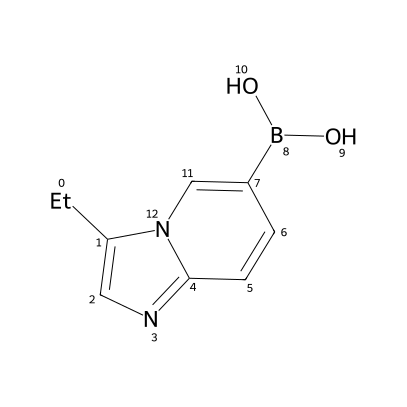 CCc1cnc2ccc(B(O)O)cn12